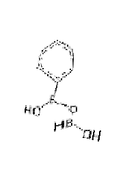 OBOB(O)c1ccccc1